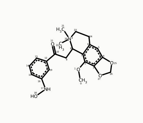 COc1c2c(cc3c1C(CC(=O)c1cccc(NO)c1)[N+](C)(C)CC3)OCO2